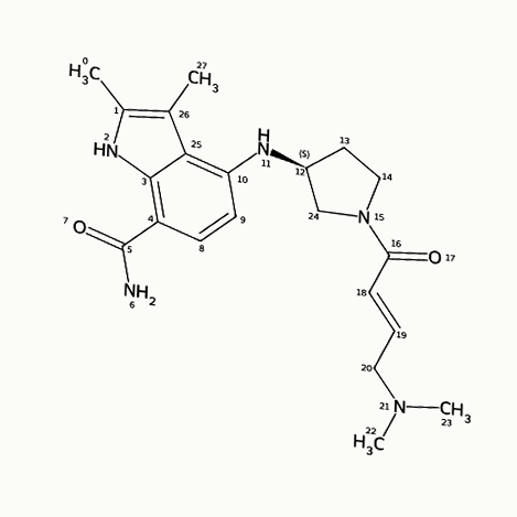 Cc1[nH]c2c(C(N)=O)ccc(N[C@H]3CCN(C(=O)C=CCN(C)C)C3)c2c1C